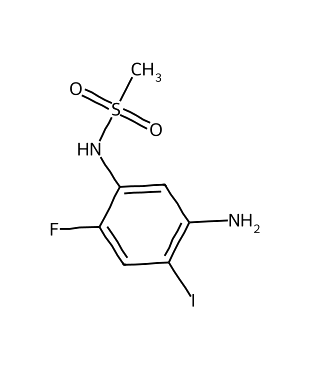 CS(=O)(=O)Nc1cc(N)c(I)cc1F